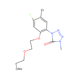 CCc1cc(-n2nnn(C)c2=O)c(OCCOCCOC)cc1F